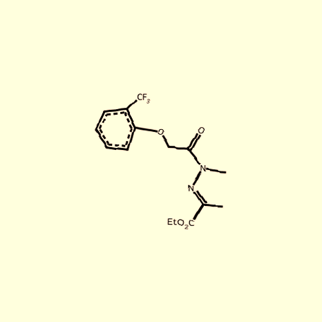 CCOC(=O)C(C)=NN(C)C(=O)COc1ccccc1C(F)(F)F